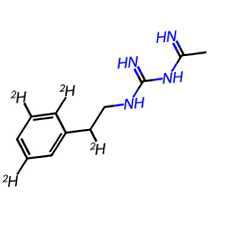 [2H]c1cc([2H])c([2H])c(C([2H])CNC(=N)NC(C)=N)c1